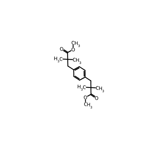 COC(=O)C(C)(C)Cc1ccc(CC(C)(C)C(=O)OC)cc1